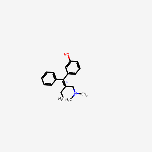 CC/C(CN(C)C)=C(\c1ccccc1)c1cccc(O)c1